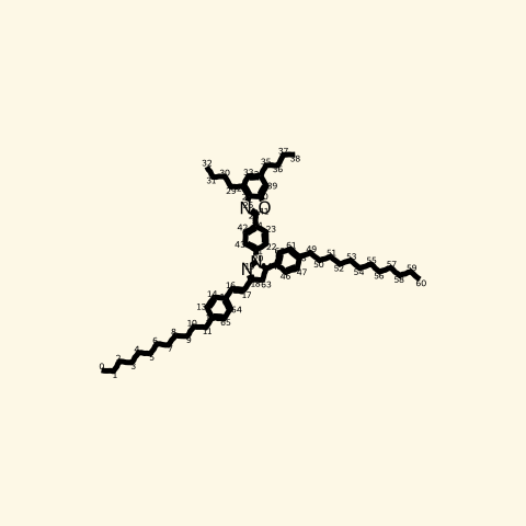 CCCCCCCCCCCCc1ccc(C=CC2=NN(c3ccc(-c4nc5c(CCCC)cc(CCCC)cc5o4)cc3)C(c3ccc(CCCCCCCCCCCC)cc3)C2)cc1